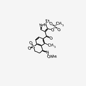 CCn1ncc(C(=O)c2ccc3c(c2C)/C(=N/OC)CCS3(=O)=O)c1OS(C)(=O)=O